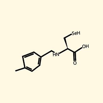 Cc1ccc(CN[C@@H](C[SeH])C(=O)O)cc1